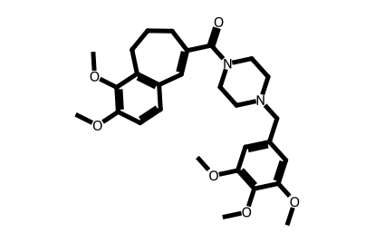 COc1cc(CN2CCN(C(=O)C3=Cc4ccc(OC)c(OC)c4CCC3)CC2)cc(OC)c1OC